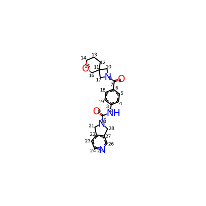 O=C(Nc1ccc(C(=O)N2CC3(CCCOC3)C2)cc1)N1Cc2ccncc2C1